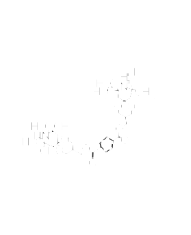 CC1(C)CC2(CC(C)(C)N1)OCC(COC(=O)c1ccc(C(=O)OCC3COC4(CC(C)(C)NC(C)(C)C4)OC3)cc1)CO2